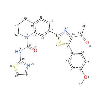 COc1ccc(-c2sc(-c3ccc4c(c3)N(C(=O)Nc3nccs3)CCC4)nc2C(C)=O)cc1